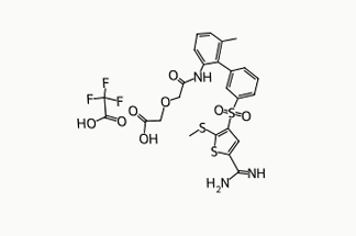 CSc1sc(C(=N)N)cc1S(=O)(=O)c1cccc(-c2c(C)cccc2NC(=O)COCC(=O)O)c1.O=C(O)C(F)(F)F